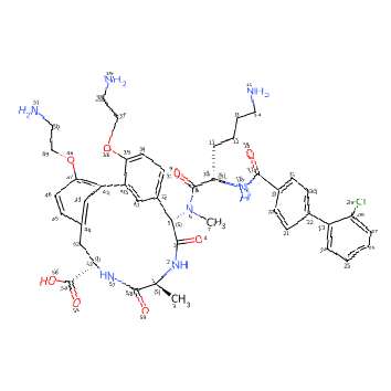 C[C@@H]1NC(=O)[C@@H](N(C)C(=O)[C@H](CCCCN)NC(=O)c2ccc(-c3ccccc3Cl)cc2)c2ccc(OCCN)c(c2)-c2cc(ccc2OCCN)C[C@@H](C(=O)O)NC1=O